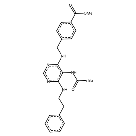 CCCCC(=O)Nc1c(NCCc2ccccc2)ncnc1NCc1ccc(C(=O)OC)cc1